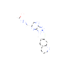 CC(=O)N/N=C(\C)c1cnc2nnn(Cc3cc4cccnc4cc3F)c2n1